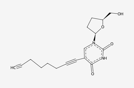 C#CCCCCC#Cc1cn([C@H]2CC[C@@H](CO)O2)c(=O)[nH]c1=O